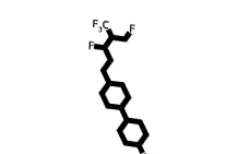 FCC(C(F)CCC1CCC(C2CCC(S)CC2)CC1)C(F)(F)F